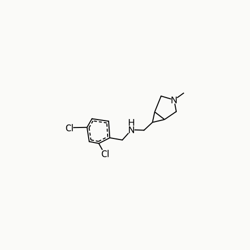 CN1CC2C(CNCc3ccc(Cl)cc3Cl)C2C1